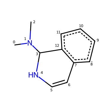 CN(C)C1NC=Cc2[c]cccc21